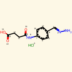 Cl.NN=Cc1ccc(NC(=O)CCC(=O)O)cc1